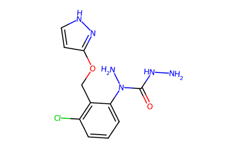 NNC(=O)N(N)c1cccc(Cl)c1COc1cc[nH]n1